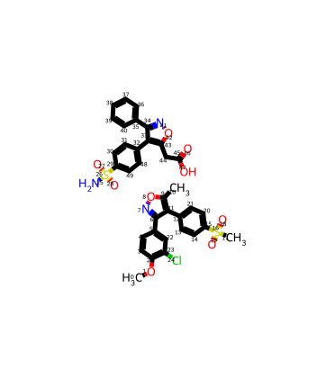 COc1ccc(-c2noc(C)c2-c2ccc(S(C)(=O)=O)cc2)cc1Cl.NS(=O)(=O)c1ccc(-c2c(-c3ccccc3)noc2CC(=O)O)cc1